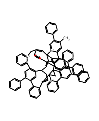 Cc1cc2[n+](cc1-c1ccccc1)C13/C=C4\C[n+]5ccccc5-c5cc(-c6ccccc6)c6cc5C(/C=C\1c1cc(c(-c5ccccc5)cc1-2)-c1ccccc14)C/C=C(/c1ccccc1-6)C12CC14/C=C\3c1ccccc1-c1cc4c(cc1-c1ccccc1)-c1cccc[n+]12